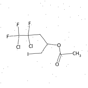 CC(=O)OC(CI)CC(F)(Cl)C(F)(F)Cl